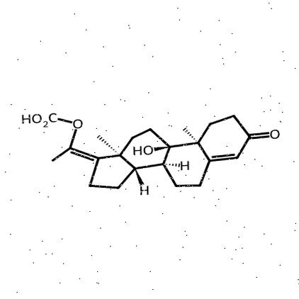 CC(OC(=O)O)=C1CC[C@H]2[C@@H]3CCC4=CC(=O)CC[C@]4(C)[C@@]3(O)CC[C@]12C